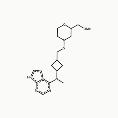 COCC1CN(SCC2CC(N(C)c3ncnc4[nH]ccc34)C2)CCO1